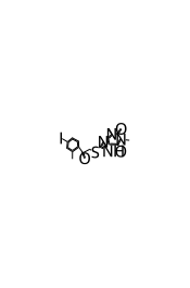 Cc1cc(I)ccc1C(=O)CSc1nc2c([nH]1)c(=O)n(C)c(=O)n2C